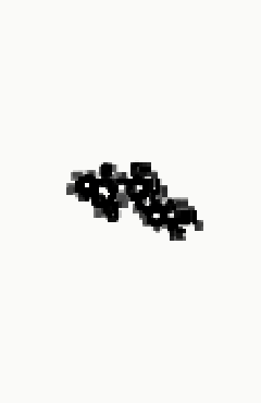 CCN(N)c1ccc(Cc2ccc(C)c(CN3CC4(COC4)Oc4ncccc4[S+]3[O-])n2)c(C)c1N